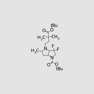 CC1CC2C(N1CCC(C)(C)C(=O)OC(C)(C)C)C(F)(F)CN2C(=O)OC(C)(C)C